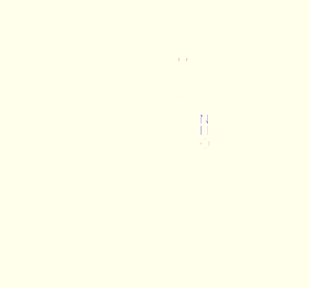 CCCC(=O)NC.c1ccc2c(c1)ccc1ccoc12